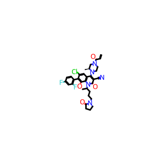 C=CC(=O)N1CCN(c2c(C#N)c(=O)n3c4c(c(-c5ccc(F)cc5F)c(Cl)cc24)OCC3CCCN2CCCC2=O)[C@@H](C)C1